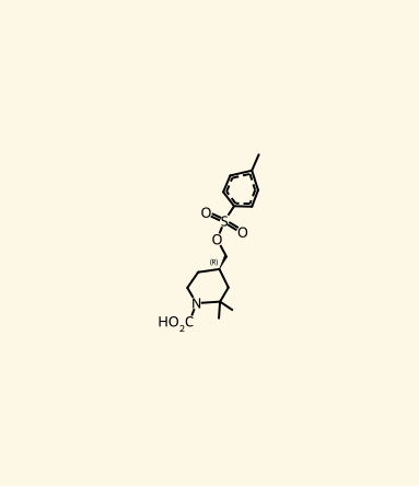 Cc1ccc(S(=O)(=O)OC[C@@H]2CCN(C(=O)O)C(C)(C)C2)cc1